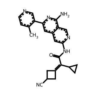 Cc1ccncc1-c1cc2cc(NC(=O)C(=C3CC(C#N)C3)C3CC3)ncc2c(N)n1